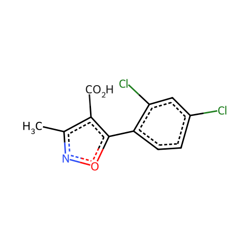 Cc1noc(-c2ccc(Cl)cc2Cl)c1C(=O)O